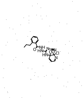 CCCc1ccccc1C(=O)NNC(=NC#N)NC1(Cl)C=CC=NC1(Cl)Cl